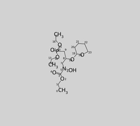 CCOC(=O)N(O)CC(CP(=O)(OCC)OCC)OC1CCCCO1